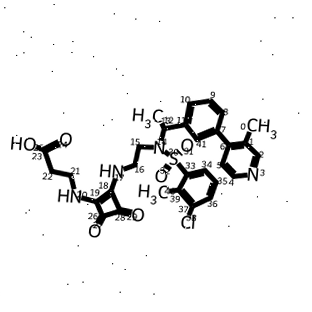 Cc1cnccc1-c1cccc(C(C)N(CCNc2c(NCCC(=O)O)c(=O)c2=O)S(=O)(=O)c2cccc(Cl)c2C)c1